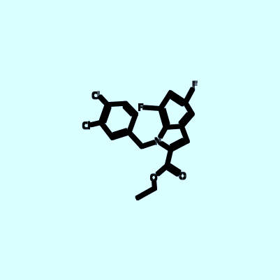 CCOC(=O)c1cc2cc(F)cc(F)c2n1Cc1ccc(Cl)c(Cl)c1